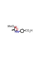 C=C(CC(=O)NC1CCC(C(=O)O)CC1)C(=O)OC